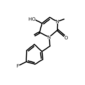 C=C1C(O)=CN(C)C(=O)N1Cc1ccc(F)cc1